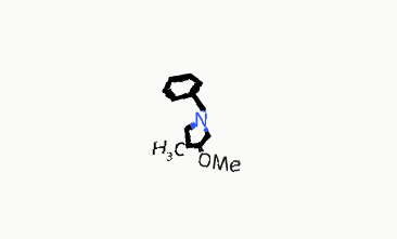 COC1CN(Cc2ccccc2)CC1C